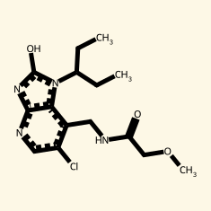 CCC(CC)n1c(O)nc2ncc(Cl)c(CNC(=O)COC)c21